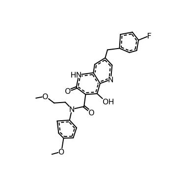 COCCN(C(=O)c1c(O)c2ncc(Cc3ccc(F)cc3)cc2[nH]c1=O)c1ccc(OC)cc1